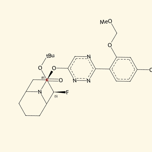 COCOc1cc(Cl)ccc1-c1ncc(O[C@@H]2CC3CCCC([C@@H]2F)N3C(=O)OC(C)(C)C)nn1